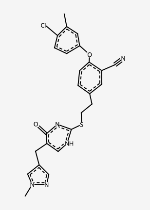 Cc1cc(Oc2ccc(CCSc3nc(=O)c(Cc4cnn(C)c4)c[nH]3)cc2C#N)ccc1Cl